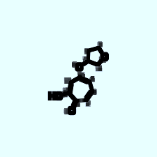 O=c1cccc(OC2CCOC2)cc1O